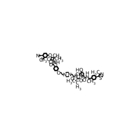 Cc1ncsc1-c1ccc([C@H](C)NC(=O)[C@@H]2C[C@@H](O)CN2C(=O)[C@H](C(C)C)N(C)C(=O)CN2CCN(CCOc3ccc(C(=O)N[C@H]4C(C)(C)[C@H](Oc5ccc(C#N)c(Cl)c5)C4(C)C)cc3)CC2)cc1